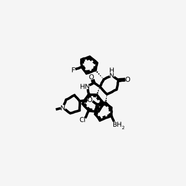 Bc1ccc(OC2CCN(C)CC2)c([C@H]2CC(=O)N[C@@H](c3cccc(F)c3)[C@]23C(=O)Nc2cc(Cl)ccc23)c1